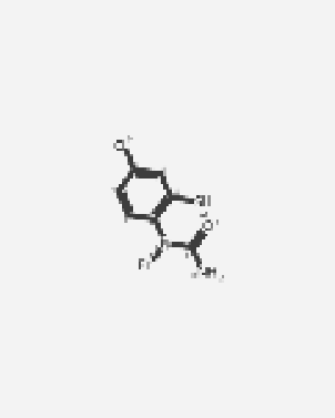 CCN(C(N)=O)c1ccc(Cl)cc1S